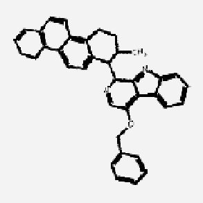 CC1CCc2c(ccc3c4c(ccc23)C=CCC4)C1C1N=CC(OCc2ccccc2)=C2C1=Nc1c[c]ccc12